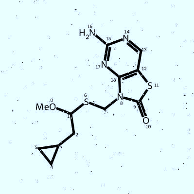 COC(CC1CC1)SCn1c(=O)sc2cnc(N)nc21